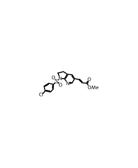 COC(=O)/C=C/c1cnc2c(c1)CCN2S(=O)(=O)c1ccc(Cl)cc1